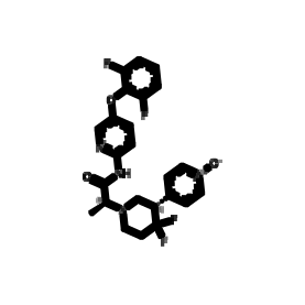 C[C@@H](C(=O)Nc1ccc(Oc2c(F)cccc2F)cn1)N1CCC(F)(F)[C@@H](c2cc[n+]([O-])cc2)C1